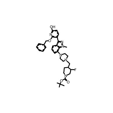 Cn1nc(-c2ccc(O)nc2OCc2ccccc2)c2cccc(N3CCN(CC4CCN(C(=O)OC(C)(C)C)CC4F)CC3)c21